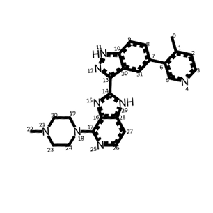 Cc1ccncc1-c1ccc2[nH]nc(-c3nc4c(N5CCN(C)CC5)nccc4[nH]3)c2c1